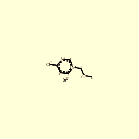 COC[n+]1ccc(Cl)nc1.[Br-]